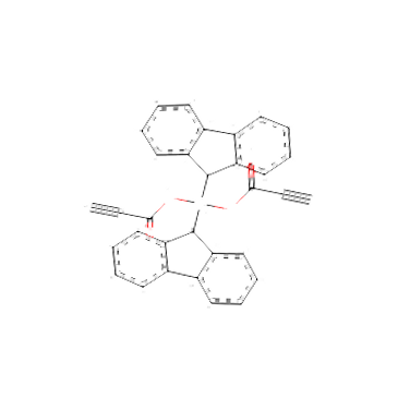 C#CC(=O)[O][Ti]([O]C(=O)C#C)([CH]1c2ccccc2-c2ccccc21)[CH]1c2ccccc2-c2ccccc21